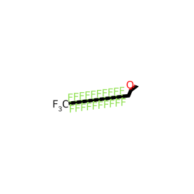 FC(F)(F)C(F)(F)C(F)(F)C(F)(F)C(F)(F)C(F)(F)C(F)(F)C(F)(F)C(F)(F)C(F)(F)C(F)(F)CC1CO1